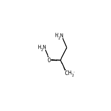 [CH2]C(CN)ON